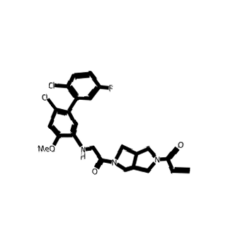 C=CC(=O)N1CC2CN(C(=O)CNc3cc(-c4cc(F)ccc4Cl)c(Cl)cc3OC)CC2C1